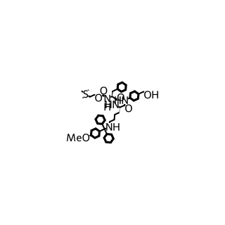 COc1ccc(C(NCCCC[C@H](NC(=O)[C@H](Cc2ccccc2)NC(=O)OCCS(C)(C)C)C(=O)Nc2ccc(CO)cc2)(c2ccccc2)c2ccccc2)cc1